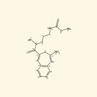 CCCN(OCCNC(=O)OC(C)(C)C)C(=O)C1=Cc2cnncc2N=C(N)C1